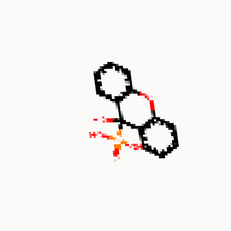 O=P(O)(O)C1(O)c2ccccc2Oc2ccccc21